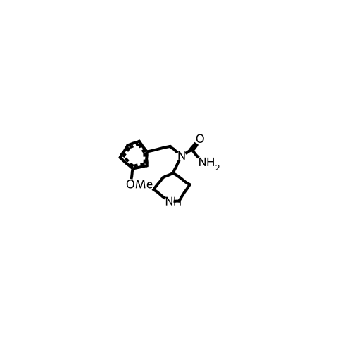 COc1cccc(CN(C(N)=O)C2CCNCC2)c1